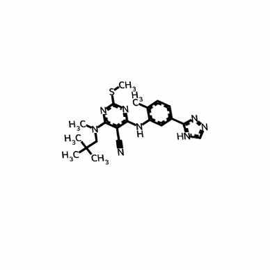 CSc1nc(Nc2cc(-c3nnc[nH]3)ccc2C)c(C#N)c(N(C)CC(C)(C)C)n1